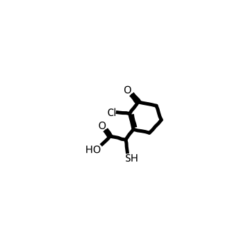 O=C1CCCC(C(S)C(=O)O)=C1Cl